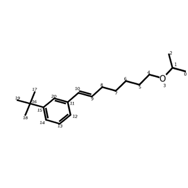 CC(C)OCCCCC/C=C/c1cccc(C(C)(C)C)c1